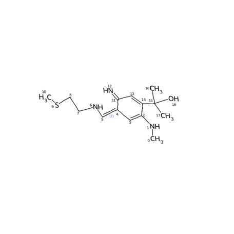 CNC1=C/C(=C/NCCSC)C(=N)C=C1C(C)(C)O